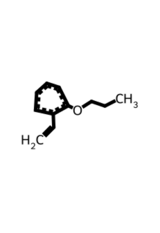 C=Cc1ccccc1OCCC